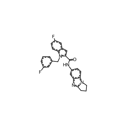 O=C(Nc1ccc2c(c1)nc1n2CCC1)c1cc2cc(F)ccc2n1Cc1cccc(F)c1